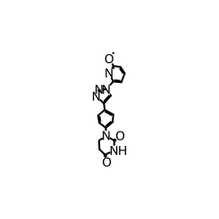 COc1cccc(-n2cc(-c3ccc(N4CCC(=O)NC4=O)cc3)nn2)n1